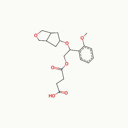 COc1ccccc1C(COC(=O)CCC(=O)O)OC1CC2COCC2C1